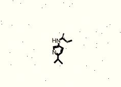 CC[C@H](C)Nc1ccc(C(C)C)nc1